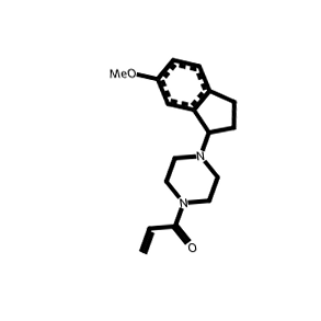 C=CC(=O)N1CCN(C2CCc3ccc(OC)cc32)CC1